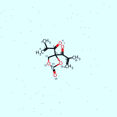 C=C(C)C(=O)C1(C(=O)C(=C)C)C[O][Ti](=[O])[O]1